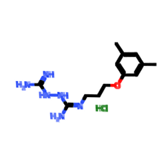 Cc1cc(C)cc(OCCCN=C(N)NNC(=N)N)c1.Cl